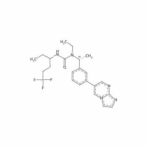 CCC(CCC(F)(F)F)NC(=O)N(CC)[C@H](C)c1cccc(-c2cnc3nccn3c2)c1